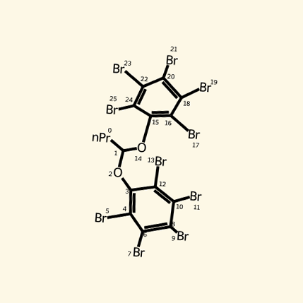 CCCC(Oc1c(Br)c(Br)c(Br)c(Br)c1Br)Oc1c(Br)c(Br)c(Br)c(Br)c1Br